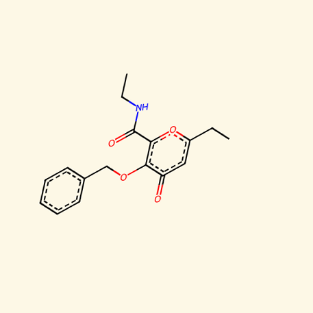 CCNC(=O)c1oc(CC)cc(=O)c1OCc1ccccc1